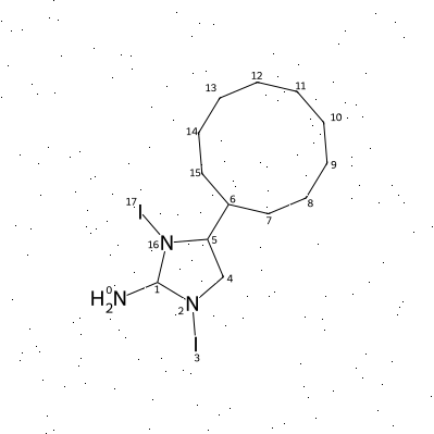 NC1N(I)CC(C2CCCCCCCCC2)N1I